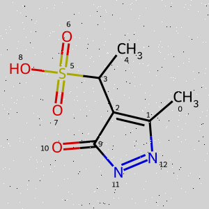 CC1=C(C(C)S(=O)(=O)O)C(=O)N=N1